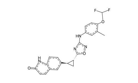 Cc1cc(Nc2noc([C@@H]3C[C@H]3c3ccc4[nH]c(=O)ccc4c3)n2)ccc1OC(F)F